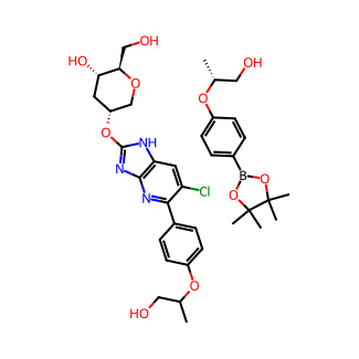 CC(CO)Oc1ccc(-c2nc3nc(O[C@H]4CO[C@H](CO)[C@@H](O)C4)[nH]c3cc2Cl)cc1.C[C@H](CO)Oc1ccc(B2OC(C)(C)C(C)(C)O2)cc1